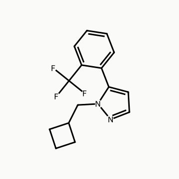 FC(F)(F)c1ccccc1-c1ccnn1CC1CCC1